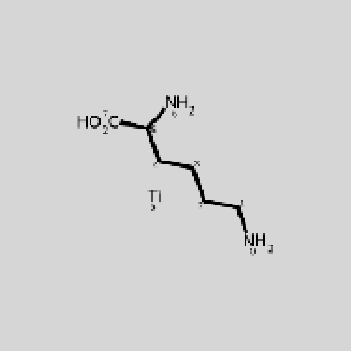 NCCCC[C@H](N)C(=O)O.[Ti]